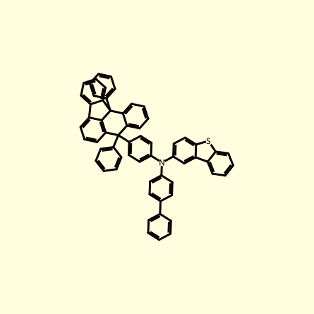 c1ccc(-c2ccc(N(c3ccc(C4(c5ccccc5)c5ccccc5C5(c6ccccc6)c6ccccc6-c6cccc4c65)cc3)c3ccc4sc5ccccc5c4c3)cc2)cc1